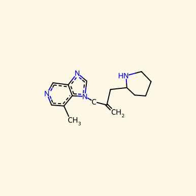 C=C(CC1CCCCN1)Cn1cnc2cncc(C)c21